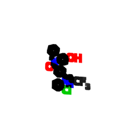 O=C(c1ccc(-c2cc(C(F)(F)F)nn2-c2ccccc2Cl)cc1)N(Cc1ccccc1)c1ccc(O)cc1